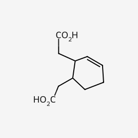 O=C(O)CC1C=CCCC1CC(=O)O